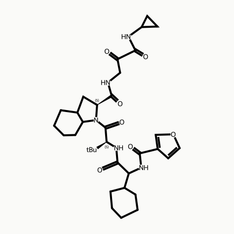 CC(C)(C)[C@H](NC(=O)C(NC(=O)c1ccoc1)C1CCCCC1)C(=O)N1C2CCCCC2C[C@H]1C(=O)NCC(=O)C(=O)NC1CC1